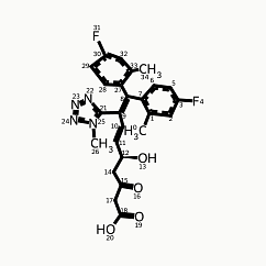 Cc1cc(F)ccc1C(=C(/C=C/[C@@H](O)CC(=O)CC(=O)O)c1nnnn1C)c1ccc(F)cc1C